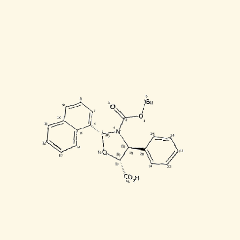 CC(C)(C)OC(=O)N1[C@@H](c2cccc3ccccc23)O[C@@H](C(=O)O)[C@@H]1c1ccccc1